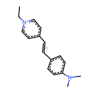 CC[n+]1ccc(/C=C/c2ccc(N(C)C)cc2)cc1